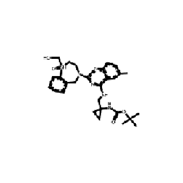 Cc1ccc2nc(N3CC[SH](=O)(CO)c4ccccc4C3)nc(NCC3(NC(=O)OC(C)(C)C)CC3)c2c1